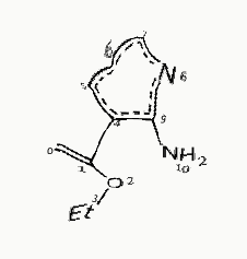 C=C(OCC)c1cccnc1N